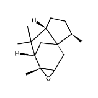 C[C@@H]1CC[C@H]2C(C)(C)[C@@H]3C[C@]12CC1O[C@@]13C